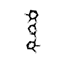 Fc1cccc(Oc2ccnc(Oc3cccc(F)c3F)n2)c1F